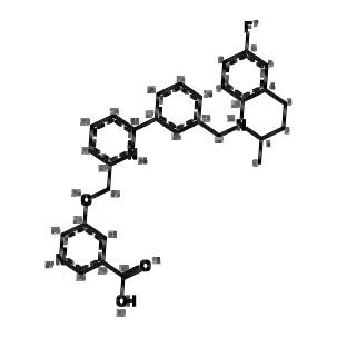 CC1CCc2cc(F)ccc2N1Cc1cccc(-c2cccc(COc3cncc(C(=O)O)c3)n2)c1